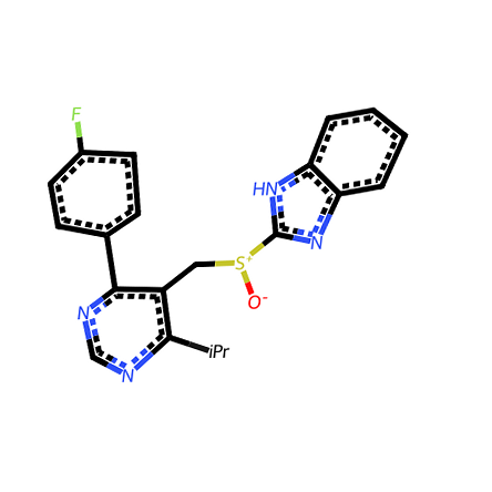 CC(C)c1ncnc(-c2ccc(F)cc2)c1C[S+]([O-])c1nc2ccccc2[nH]1